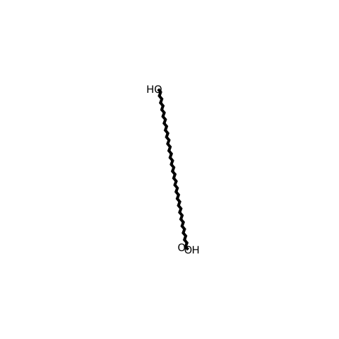 O=C(O)CCCCCCCCCCCCCCCCCCCCCCCCCCCCCCCCCCCCCCCCCCCCCO